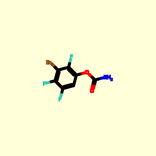 NC(=O)Oc1cc(F)c(F)c(Br)c1F